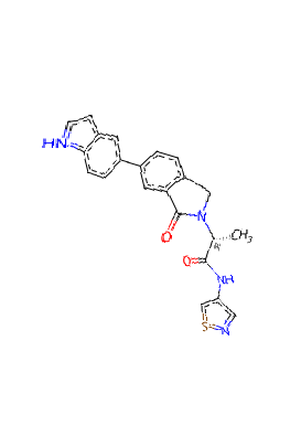 C[C@H](C(=O)Nc1cnsc1)N1Cc2ccc(-c3ccc4[nH]ccc4c3)cc2C1=O